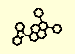 c1ccc(-c2cc(-c3ccccc3)c3ccc4c(-n5c6ccccc6c6ccccc65)ccc5ccc2c3c54)cc1